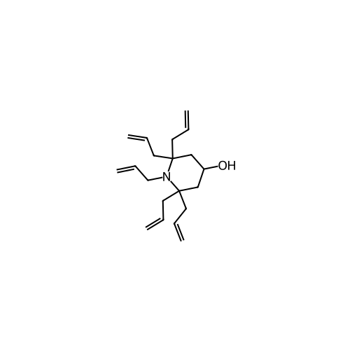 C=CCN1C(CC=C)(CC=C)CC(O)CC1(CC=C)CC=C